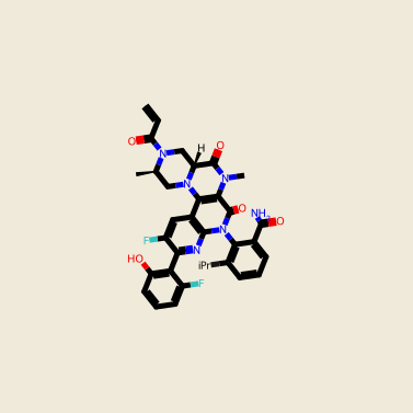 C=CC(=O)N1C[C@@H]2C(=O)N(C)c3c(c4cc(F)c(-c5c(O)cccc5F)nc4n(-c4c(C(N)=O)cccc4C(C)C)c3=O)N2C[C@H]1C